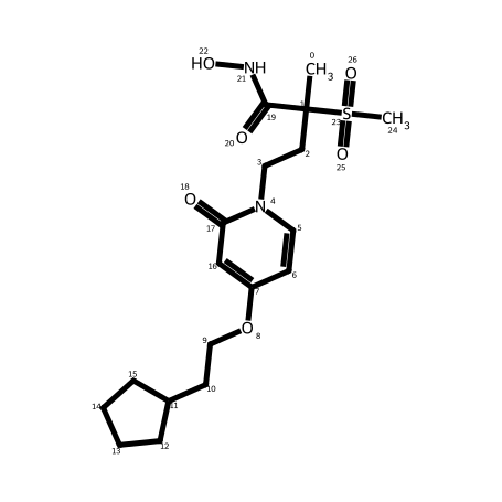 CC(CCn1ccc(OCCC2CCCC2)cc1=O)(C(=O)NO)S(C)(=O)=O